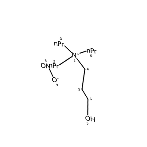 CCC[N+](CCC)(CCC)CCCO.O=N[O-]